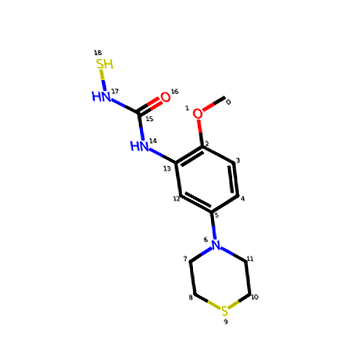 COc1ccc(N2CCSCC2)cc1NC(=O)NS